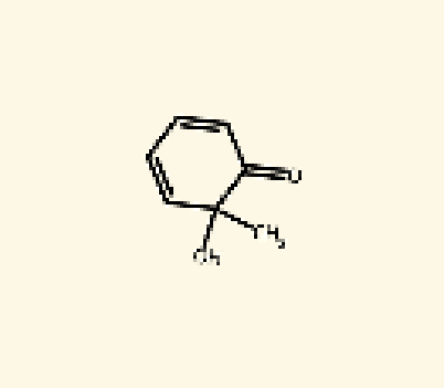 CC1(O)C=CC=CC1=O